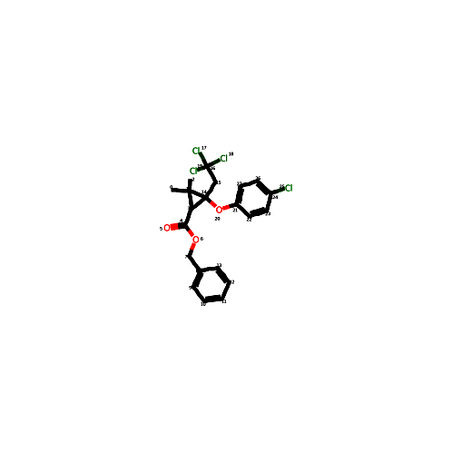 CC1(C)C(C(=O)OCc2ccccc2)C1(CC(Cl)(Cl)Cl)Oc1ccc(Cl)cc1